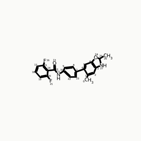 Cc1cc2c(cc1-c1ccc(NC(=O)c3c(F)cccc3F)cc1)OC(C)N2